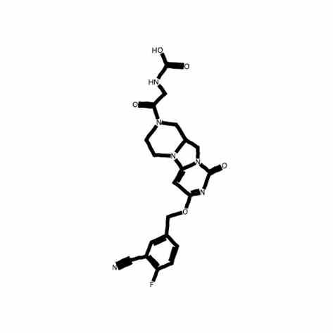 N#Cc1cc(COc2cc3n(c(=O)n2)CC2CN(C(=O)CNC(=O)O)CCN32)ccc1F